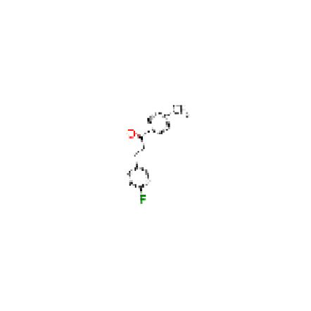 O=C(CCc1ccc(F)cc1)c1ccc(C(F)(F)F)cc1